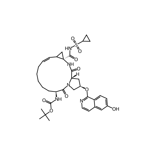 CC(C)(C)OC(=O)N[C@H]1CCCCC/C=C\C2C[C@@]2(C(=O)NS(=O)(=O)C2CC2)NC(=O)[C@@H]2C[C@@H](Oc3nccc4cc(O)ccc34)CN2C1=O